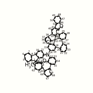 CC1(C)c2ccccc2-c2ccc(N(c3ccc4c(c3)-c3ccccc3-c3ccccc3C43c4ccccc4-c4cc5c(cc43)oc3ccccc35)c3cccc4c3Oc3ccccc3-c3ccccc3-4)cc21